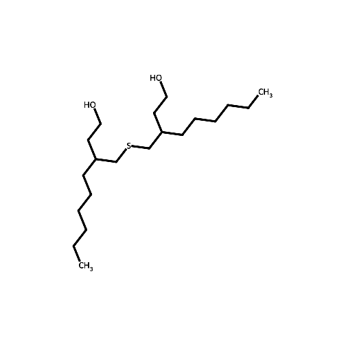 CCCCCCC(CCO)CSCC(CCO)CCCCCC